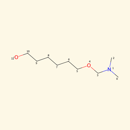 CN(C)COCCCCCC[O]